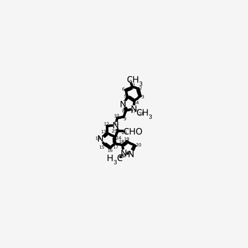 Cc1ccc2c(c1)nc(CCN1Cc3nccc(-c4ccnn4C)c3C1C=O)n2C